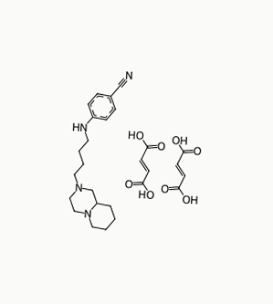 N#Cc1ccc(NCCCCN2CCN3CCCCC3C2)cc1.O=C(O)C=CC(=O)O.O=C(O)C=CC(=O)O